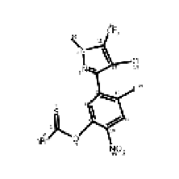 CCCC(=S)Oc1cc(-c2nn(C)c(C(F)(F)F)c2Cl)c(F)cc1[N+](=O)[O-]